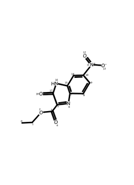 CCOC(=O)c1nc2ccc([N+](=O)[O-])cc2[nH]c1=O